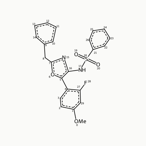 COc1ccc(-c2oc(Cc3ccccc3)nc2NS(=O)(=O)c2ccccc2)c(F)c1